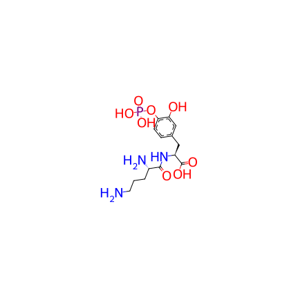 NCCC[C@H](N)C(=O)N[C@@H](Cc1ccc(OP(=O)(O)O)c(O)c1)C(=O)O